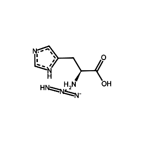 N[C@@H](Cc1cnc[nH]1)C(=O)O.[N-]=[N+]=N